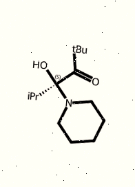 CC(C)[C@](O)(C(=O)C(C)(C)C)N1CCCCC1